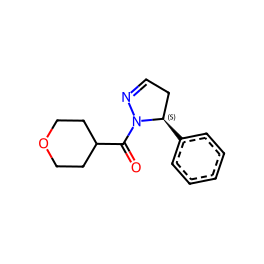 O=C(C1CCOCC1)N1N=CC[C@H]1c1ccccc1